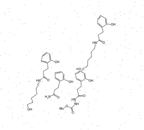 CC(C)(C)OC(=O)NNC(=O)CCc1ccccc1O.NC(=O)CCc1ccccc1O.O=C(CCc1ccccc1O)NCCCCCCO.O=C(O)CCCCCNC(=O)CCc1ccccc1O